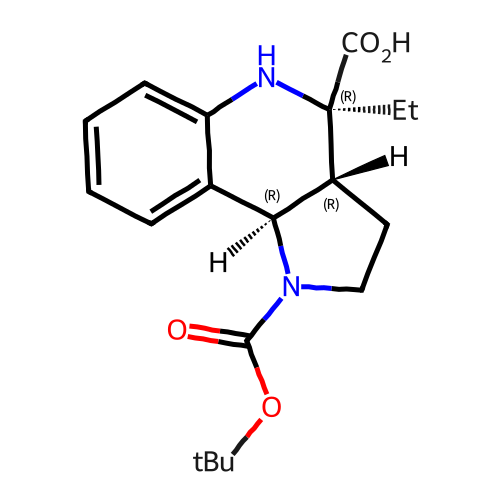 CC[C@@]1(C(=O)O)Nc2ccccc2[C@H]2[C@H]1CCN2C(=O)OC(C)(C)C